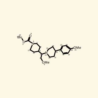 COCC(C1CCN(C(=O)OC(C)(C)C)CC1)N1CCC(c2ccc(OC)cc2)CC1